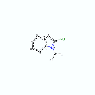 CC(C)n1c(Cl)cc2ccccc21